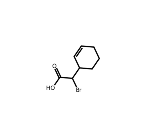 O=C(O)C(Br)C1C=CCCC1